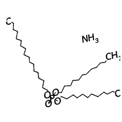 CCCCCCCCCCCCCCCCCCOP(=O)(OCCCCCCCCCCCC)OCCCCCCCCCCCC.N